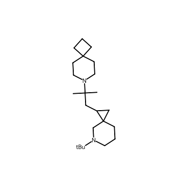 CC(C)(C)N1CCCC2(CC2CC(C)(C)N2CCC3(CCC3)CC2)C1